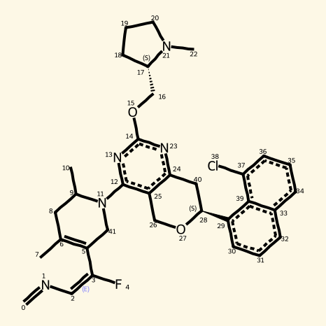 C=N/C=C(/F)C1=C(C)CC(C)N(c2nc(OC[C@@H]3CCCN3C)nc3c2CO[C@H](c2cccc4cccc(Cl)c24)C3)C1